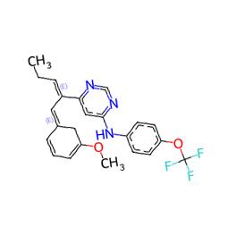 CC/C=C(\C=C1\C=CC=C(OC)C1)c1cc(Nc2ccc(OC(F)(F)F)cc2)ncn1